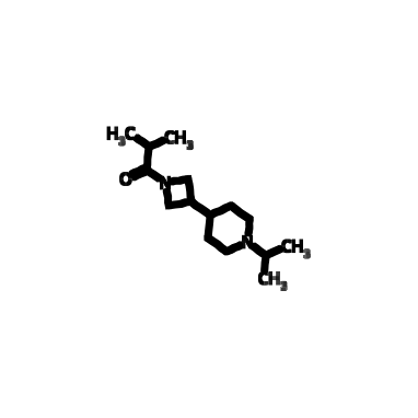 CC(C)C(=O)N1CC(C2CCN(C(C)C)CC2)C1